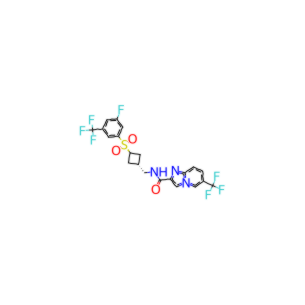 O=C(NC[C@H]1C[C@H](S(=O)(=O)c2cc(F)cc(C(F)(F)F)c2)C1)c1cn2cc(C(F)(F)F)ccc2n1